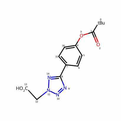 CC(C)(C)C(=O)Oc1ccc(-c2nnn(CC(=O)O)n2)cc1